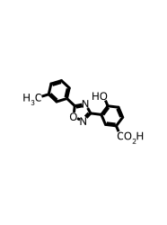 Cc1cccc(-c2nc(-c3cc(C(=O)O)ccc3O)no2)c1